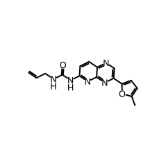 C=CCNC(=O)Nc1ccc2ncc(-c3ccc(C)o3)nc2n1